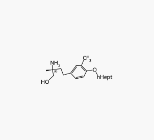 CCCCCCCOc1ccc(CC[C@@](C)(N)CO)cc1C(F)(F)F